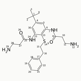 CC(C)(C)c1cc(NC(=O)CCN)c(SCCc2ccccc2)c(NC(=O)CCN)c1